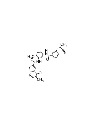 Cc1ccc(NC(=O)c2cccc(CC(C)C#N)c2)cc1NC(=O)c1ccc2ncn(C)c(=O)c2c1